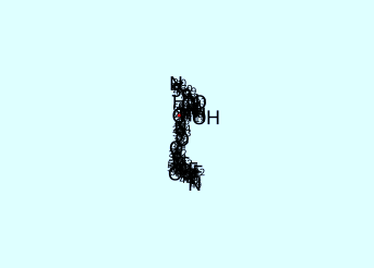 Cc1ncsc1-c1ccc(CNC(=O)[C@@H]2C[C@@H](O)CN2C(=O)C(NC(=O)CCN2CCC(OCCOc3ccc(N4C(=S)N(c5ccc(C#N)c(C(F)(F)F)c5)C(=O)C4(C)C)cc3)CC2)C(C)(C)C)cc1